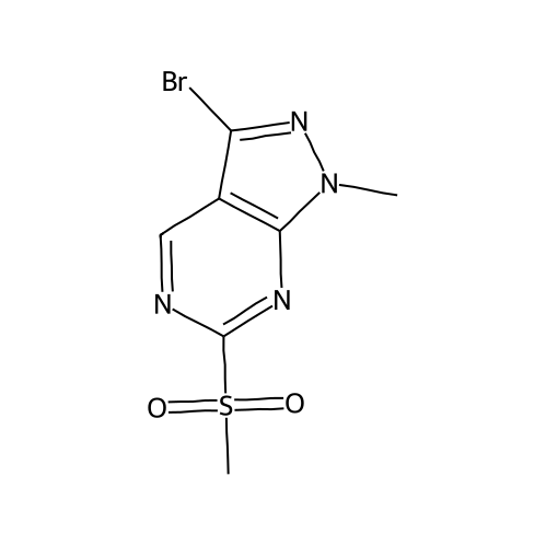 Cn1nc(Br)c2cnc(S(C)(=O)=O)nc21